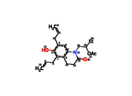 C=CCc1cc2c(c(CC=C)c1O)CCC(=O)N2CC(CC)OC(C)=O